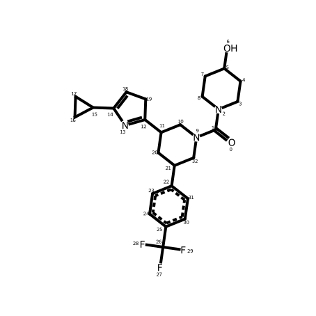 O=C(N1CCC(O)CC1)N1CC(C2=NC(C3CC3)=CC2)CC(c2ccc(C(F)(F)F)cc2)C1